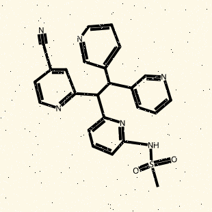 CS(=O)(=O)Nc1cccc(C(c2cc(C#N)ccn2)C(c2cccnc2)c2cccnc2)n1